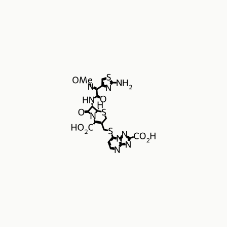 CON=C(C(=O)N[C@@H]1C(=O)N2C(C(=O)O)=C(CSc3ccnc4nc(C(=O)O)nn34)CS[C@H]12)c1csc(N)n1